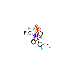 O=C(NCC(F)(F)F)NC(Cc1cccc(OS(=O)(=O)C(F)(F)F)c1)(c1ccccc1)c1ccc(F)c(C(F)(F)F)c1